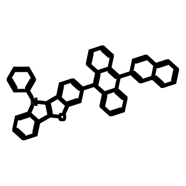 c1ccc(-n2c3ccccc3c3oc4cc(-c5c6ccccc6c(-c6ccc7ccccc7c6)c6ccccc56)ccc4c32)cc1